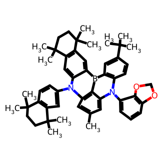 Cc1cc2c3c(c1)N(c1cccc4c1OCO4)c1ccc(C(C)(C)C)cc1B3c1cc3c(cc1N2c1ccc2c(c1)C(C)(C)CCC2(C)C)C(C)(C)CCC3(C)C